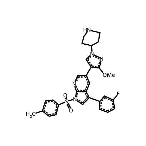 COc1nn(C2CCNCC2)cc1-c1cnc2c(c1)c(-c1cccc(F)c1)cn2S(=O)(=O)c1ccc(C)cc1